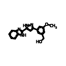 COc1cc(CO)cc(-c2cc(-c3nc4ccccc4[nH]3)[nH]n2)c1